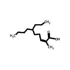 CCCCC(CCC)CCC=C(C)C(=O)O